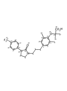 Cc1cc(CCCN2CCN(c3ccc(C(F)(F)F)cc3)C2=O)cc(C)c1OC(C)(C)C(=O)O